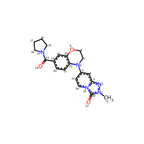 Cn1nc2cc(N3CCOc4cc(C(=O)N5CCCC5)ccc43)ccn2c1=O